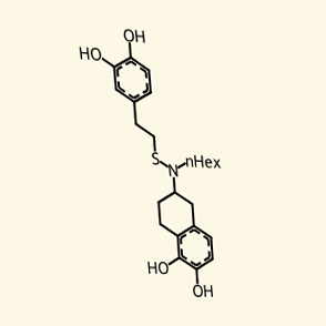 CCCCCCN(SCCc1ccc(O)c(O)c1)C1CCc2c(ccc(O)c2O)C1